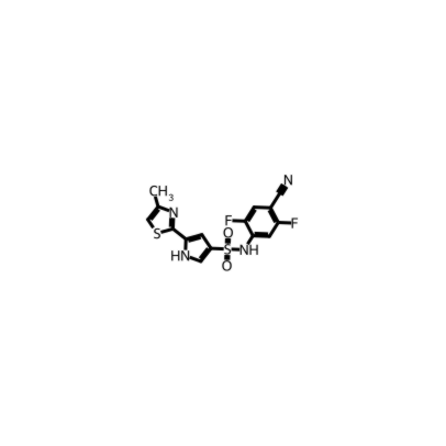 Cc1csc(-c2cc(S(=O)(=O)Nc3cc(F)c(C#N)cc3F)c[nH]2)n1